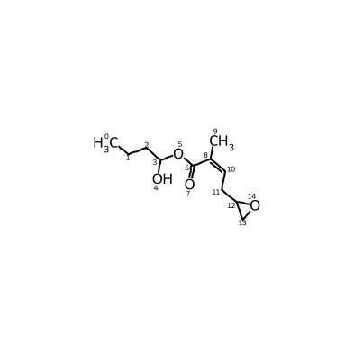 CCCC(O)OC(=O)C(C)=CCC1CO1